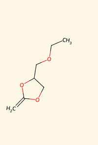 C=C1OCC(COCC)O1